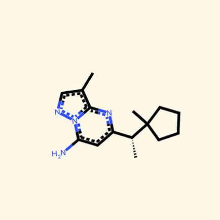 Cc1cnn2c(N)cc([C@@H](C)C3(C)CCCC3)nc12